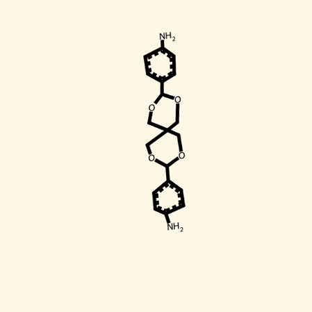 Nc1ccc(C2OCC3(CO2)COC(c2ccc(N)cc2)OC3)cc1